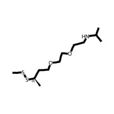 CSS[C@H](C)CCOCCOCCNC(C)C